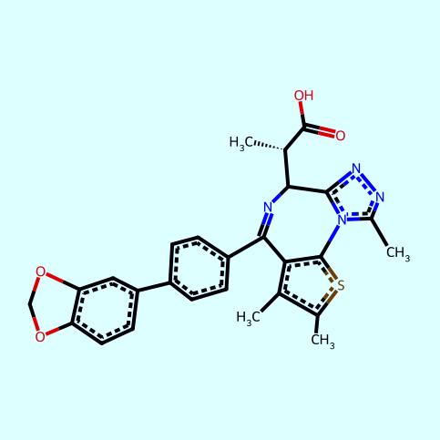 Cc1sc2c(c1C)C(c1ccc(-c3ccc4c(c3)OCO4)cc1)=NC([C@H](C)C(=O)O)c1nnc(C)n1-2